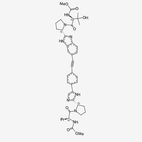 COC(=O)N[C@H](C(=O)N1CCC[C@H]1c1ncc(-c2ccc(C#Cc3ccc4nc([C@@H]5CCCN5C(=O)[C@@H](NC(=O)OC)C(C)(C)O)[nH]c4c3)cc2)[nH]1)C(C)C